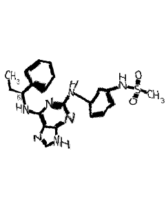 CC[C@H](Nc1nc(Nc2cccc(NS(C)(=O)=O)c2)nc2[nH]cnc12)c1ccccc1